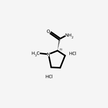 CN1CCC[C@H]1C(N)=O.Cl.Cl